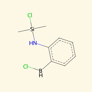 C[Si](C)(Cl)Nc1ccccc1BCl